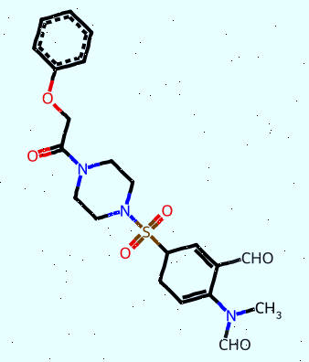 CN(C=O)C1=CCC(S(=O)(=O)N2CCN(C(=O)COc3ccccc3)CC2)C=C1C=O